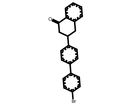 O=C1CC(c2ccc(-c3ccc(Br)cc3)cc2)Cc2ccccc21